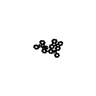 c1ccc(N(c2ccc(-c3cccc4c3oc3c5ccccc5n(-c5ccccc5)c43)cc2)c2cccc(C3(c4ccccc4)c4ccccc4-c4ccccc43)c2)cc1